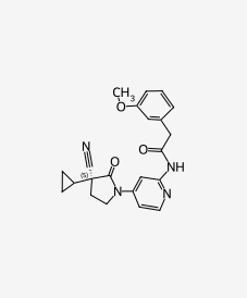 COc1cccc(CC(=O)Nc2cc(N3CC[C@@](C#N)(C4CC4)C3=O)ccn2)c1